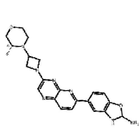 C[C@@H]1COCCN1C1CN(c2cnc3ccc(-c4ccc5c(c4)NC(N)O5)nc3n2)C1